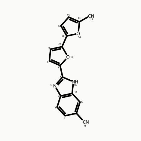 N#Cc1ccc2nc(-c3ccc(-c4ccc(C#N)o4)o3)[nH]c2c1